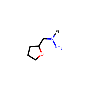 CCN(N)CC1CCCO1